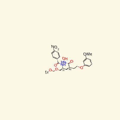 CCOCOC[C@H](C[C@H](CCOc1cccc(OC)c1)C(=O)NO)NC(=O)c1ccc([N+](=O)[O-])cc1